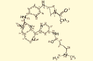 CC(=O)N1CC(Nc2ccc(Nc3ncc4ccnc(-c5cc(NC(=O)C=CCN(C)C)ccn5)c4n3)cc2)C1